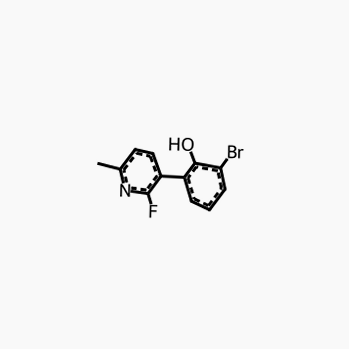 Cc1ccc(-c2cccc(Br)c2O)c(F)n1